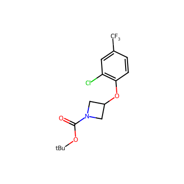 CC(C)(C)OC(=O)N1CC(Oc2ccc(C(F)(F)F)cc2Cl)C1